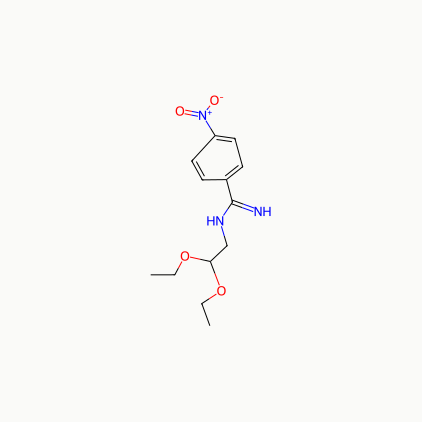 CCOC(CNC(=N)c1ccc([N+](=O)[O-])cc1)OCC